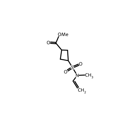 C=CN(C)S(=O)(=O)C1CC(C(=O)OC)C1